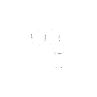 [c]1ccc2ccc3c(c2c1)-c1ccccc1C3